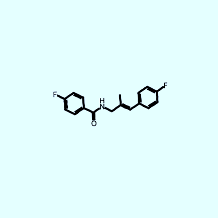 C/C(=C\c1ccc(F)cc1)CNC(=O)c1ccc(F)cc1